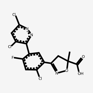 CC1(C(=O)O)CC(c2cc(-c3nnc(Cl)cc3Cl)c(F)cc2Cl)=NO1